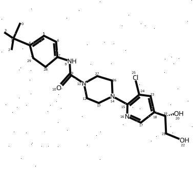 CC(C)(C)C1=CC=C(NC(=O)N2CCN(c3ncc([C@H](O)CO)cc3Cl)CC2)CC1